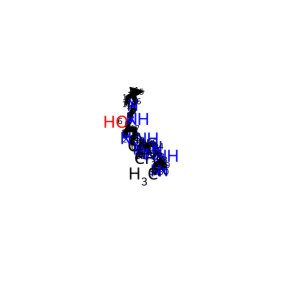 Cc1ncc(C(O)NCCN2CCC3(CC3)C2)cc1Nc1nn(C)c2nc(Nc3cnn(C)c3)ncc12